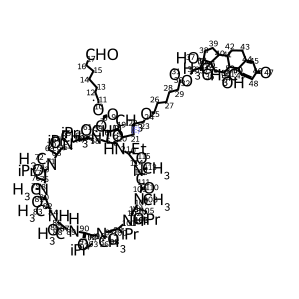 CCC1NC(=O)C(C(OC(=O)O[CH]CCCCCC=O)[C@H](C)C/C=C/COCCCCCC(=O)OCC(=O)[C@@]2(O)CCC3C4CCC5=CC(=O)C=C[C@]5(C)C4[C@@H](O)C[C@@]32C)N(C)C(=O)[C@@H](C(C)C)N(C)C(=O)C(CC(C)C)N(C)C(=O)C(CC(C)C)N(C)C(=O)C(C)NC(=O)C(C)NC(=O)[C@@H](CC(C)C)N(C)C(=O)C(C(C)C)NC(=O)[C@H](CC(C)C)N(C)C(=O)CN(C)C1=O